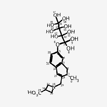 C[C@H]1Cc2cc(OC(O)(O)C(O)(O)C(O)(O)C(O)(O)O)ccc2C=C1CN1CC(C(=O)O)C1